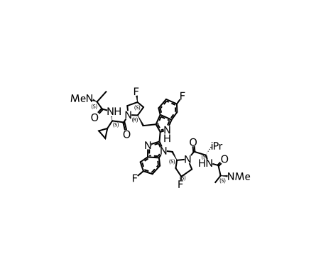 CN[C@@H](C)C(=O)N[C@H](C(=O)N1C[C@@H](F)C[C@H]1Cn1c(-c2[nH]c3cc(F)ccc3c2C[C@@H]2C[C@H](F)CN2C(=O)[C@@H](NC(=O)[C@H](C)NC)C2CC2)nc2cc(F)ccc21)C(C)C